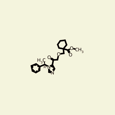 COC(=O)C1(COCC(=O)c2cncn2[C@H](C)c2ccccc2)CCCCC1